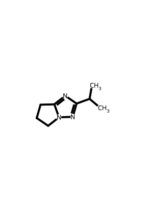 CC(C)c1nc2n(n1)CCC2